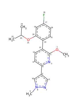 COc1nc(-c2cnn(C)c2)ccc1-c1ccc(F)cc1OC(C)C